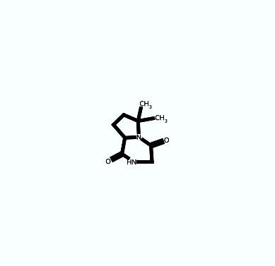 CC1(C)CCC2C(=O)NCC(=O)N21